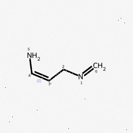 C=NC/C=C\N